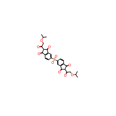 CC(C)OCC(=O)C1C(=O)c2ccc(S(=O)(=O)c3ccc4c(c3)C(=O)C(C(=O)COC(C)C)C4=O)cc2C1=O